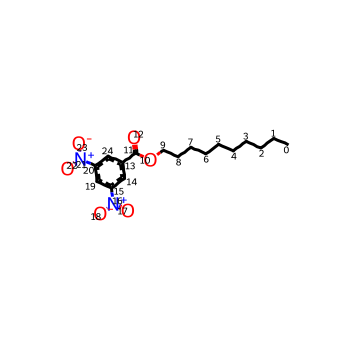 CCCCCCCCCCOC(=O)c1cc([N+](=O)[O-])cc([N+](=O)[O-])c1